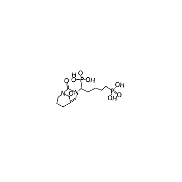 O=c1c2cn(C(CCCCP(=O)(O)O)P(=O)(O)O)c(=O)n1CCC2